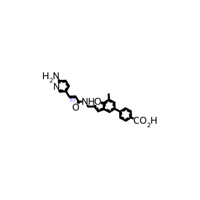 Cc1cc(-c2ccc(C(=O)O)cc2)cc2cc(CNC(=O)/C=C/c3ccc(N)nc3)oc12